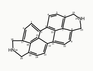 c1cc2c3ccc4c5c(ccc(c6ccc7c(c1CNC7)c26)c53)CNC4